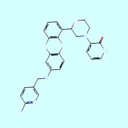 Cc1ccc(CNc2ccc3c(c2)Sc2cccc(C4CN(c5ccc[nH]c5=O)CCO4)c2S3)cn1